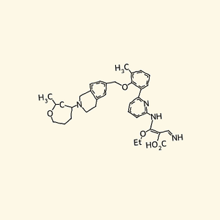 CCO/C(Nc1cccc(-c2cccc(C)c2OCc2ccc3c(c2)CCN(C2CCCOC(C)C2)C3)n1)=C(/C=N)C(=O)O